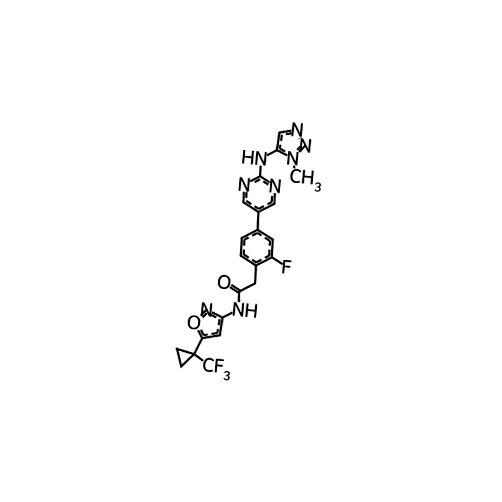 Cn1nncc1Nc1ncc(-c2ccc(CC(=O)Nc3cc(C4(C(F)(F)F)CC4)on3)c(F)c2)cn1